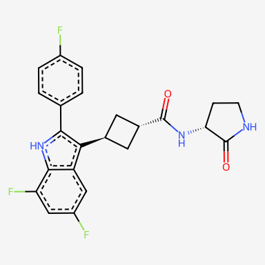 O=C1NCC[C@H]1NC(=O)[C@H]1C[C@H](c2c(-c3ccc(F)cc3)[nH]c3c(F)cc(F)cc32)C1